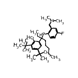 CCCCCC(CC)(Pc1ccc(F)cc1CN(C)C)c1cc(C(C)(C)C)cc(C(C)(C)C)c1O